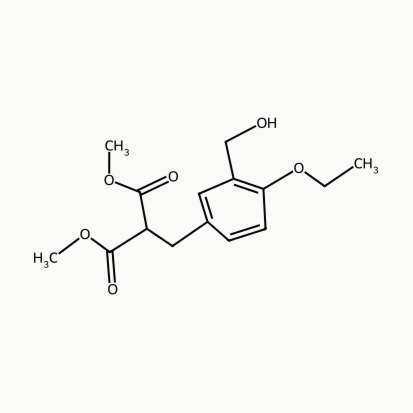 CCOc1ccc(CC(C(=O)OC)C(=O)OC)cc1CO